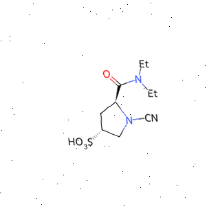 CCN(CC)C(=O)[C@@H]1C[C@@H](S(=O)(=O)O)CN1C#N